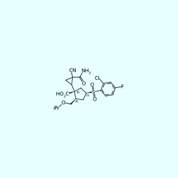 CC(C)OC[C@@H]1C[C@H](S(=O)(=O)c2ccc(F)cc2Cl)C[C@@]1(C(=O)O)C1CC1(C#N)C(N)=O